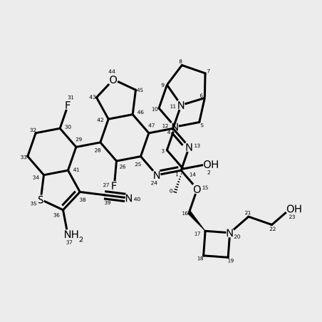 C[C@@H](O)CN1CC2CCC(C1)N2C1=NC(OC[C@@H]2CCN2CCO)=NC2C(F)C(C3C(F)CCC4SC(N)=C(C#N)C43)C3COCC3C12